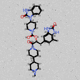 Cc1cc(CC(OC(=O)N2CCC(n3c(=O)[nH]c4ccccc43)CC2)C(=O)N2CCC(C3CCN(C)CC3)CC2)cc2[nH]c(=O)[nH]c12